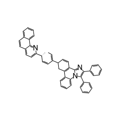 C/C=C(\C=C/[C@@H](C)c1ccc2ccc3ccccc3c2n1)C1C=Cc2c(c3ccccc3n3c(-c4ccccc4)c(-c4ccccc4)nc23)C1